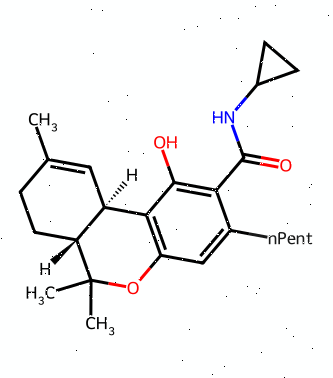 CCCCCc1cc2c(c(O)c1C(=O)NC1CC1)[C@@H]1C=C(C)CC[C@H]1C(C)(C)O2